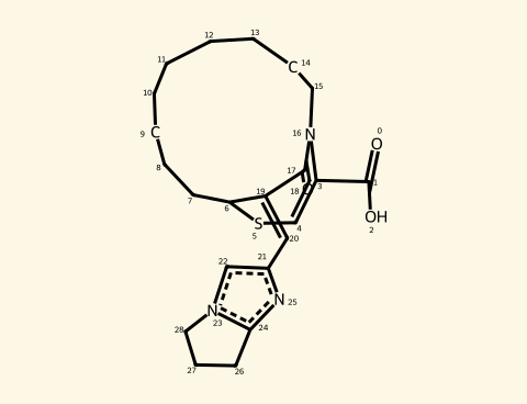 O=C(O)C1=CSC2CCCCCCCCCN1C(=O)C2=Cc1cn2c(n1)CCC2